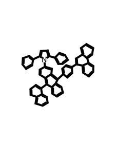 c1ccc(-c2ccc(-c3ccccc3)n2-c2ccc3c(-c4cccc5ccccc45)c4ccccc4c(-c4ccc(-c5cc6ccccc6c6ccccc56)cc4)c3c2)cc1